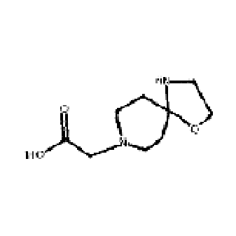 O=C(O)CN1CCC2(CC1)NCCO2